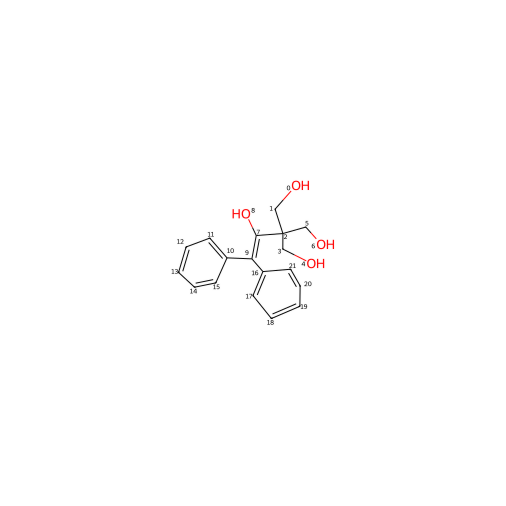 OCC(CO)(CO)C(O)=C(c1ccccc1)c1ccccc1